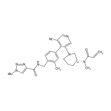 C=CC(=O)N(C)[C@@H]1CCCN(c2cncc(C#N)c2-c2ccc(CNC(=O)c3cn(C(C)(C)C)nn3)c(C)c2)C1